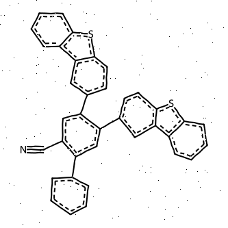 N#Cc1cc(-c2ccc3sc4ccccc4c3c2)c(-c2ccc3sc4ccccc4c3c2)cc1-c1ccccc1